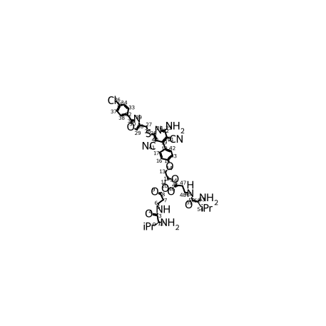 CC(C)[C@H](N)C(=O)NCCC(=O)OC[C@H](COc1ccc(-c2c(C#N)c(N)nc(SCc3coc(-c4ccc(Cl)cc4)n3)c2C#N)cc1)OC(=O)CCNC(=O)[C@@H](N)C(C)C